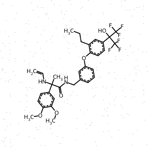 C=CNC(C)(C(=O)NCc1cccc(Oc2ccc(C(O)(C(F)(F)F)C(F)(F)F)cc2CCC)c1)c1ccc(OC)c(OC)c1